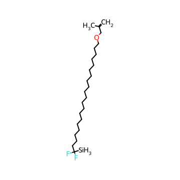 C=C(C)COCCCCCCCCCCCCCCCCCCCCC(F)(F)[SiH3]